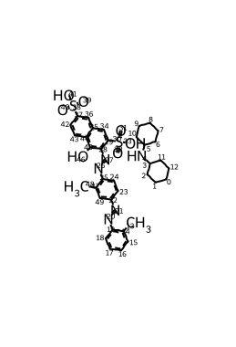 C1CCC(NC2CCCCC2)CC1.Cc1ccccc1N=Nc1ccc(N=Nc2c(S(=O)(=O)O)cc3cc(S(=O)(=O)O)ccc3c2O)c(C)c1